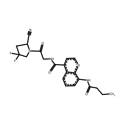 CCCC(=O)Nc1cccc2c(C(=O)NCC(=O)N3CC(F)(F)CC3C#N)ccnc12